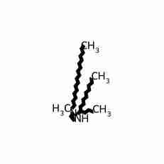 CCCCCCCCCCCCCCCCCC(C)[n+]1cc[nH]c1C(CCCC)CCCCCCCCCC